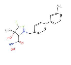 Cc1cccc(-c2ccc(CNC(C(=O)NO)C(C)(O)C(F)F)cc2)c1